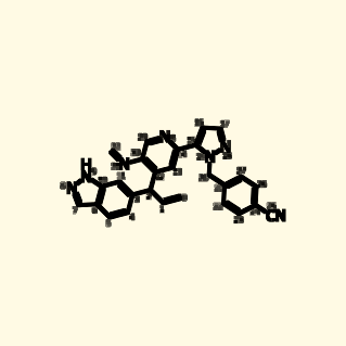 C=CC(c1ccc2cn[nH]c2c1)c1cc(-c2ccnn2Cc2ccc(C#N)cc2)ncc1N=C